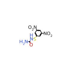 NC(=O)NSc1cc([N+](=O)[O-])cc([N+](=O)[O-])c1